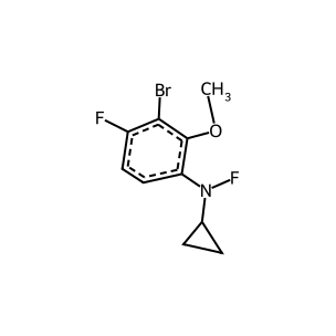 COc1c(N(F)C2CC2)ccc(F)c1Br